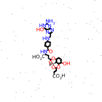 CC(C)c1c(OC(=O)CCC(NC(=O)c2ccc(NCc3cnc4c(n3)=C(O)NC(N)N=4)cc2)C(=O)O)ccc(O)c1OC(=O)C=CC(=O)O